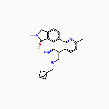 Cc1ccc(/C(C=N)=C/NCC23CC(C2)C3)c(-c2ccc3c(c2)C(=O)N(C)C3)n1